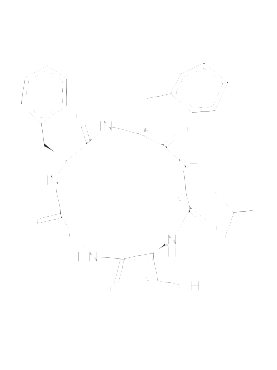 CC(C)C[C@H]1NC(=O)[C@@H](Cc2ccccc2)NC(=O)[C@H](Cc2ccccc2)NC(=O)CNC(=O)[C@H]([C@@H](C)O)NC1=O